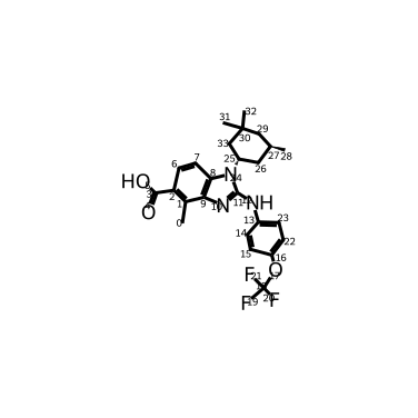 Cc1c(C(=O)O)ccc2c1nc(Nc1ccc(OC(F)(F)F)cc1)n2[C@H]1C[C@H](C)CC(C)(C)C1